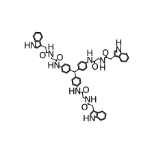 O=C(Cc1c[nH]c2ccccc12)NCC(=O)Nc1ccc(C(c2ccc(NC(=O)CNC(=O)Cc3c[nH]c4ccccc34)cc2)c2ccc(NC(=O)CNC(=O)Cc3c[nH]c4ccccc34)cc2)cc1